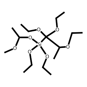 CCOC(C)C(OCC)(OCC)[Si](OCC)(OCC)OC(C)OC